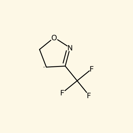 FC(F)(F)C1=NOC[CH]1